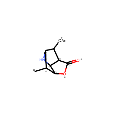 CC(=O)OC1C2NC3C(OC(=O)C31)C2C